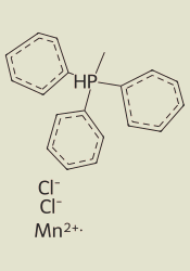 C[PH](c1ccccc1)(c1ccccc1)c1ccccc1.[Cl-].[Cl-].[Mn+2]